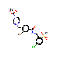 CCS(=O)(=O)c1ccc(Cl)cc1CNC(=O)c1ccc(CN2CCN(C(=O)OC(C)(C)C)CC2)c(Br)c1